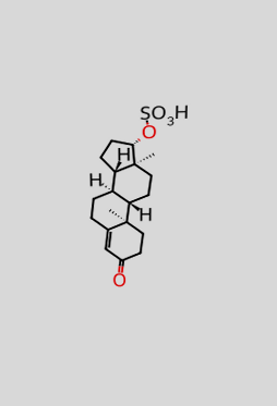 C[C@]12CC[C@H]3[C@@H](CCC4=CC(=O)CC[C@@]43C)[C@@H]1CC[C@@H]2OS(=O)(=O)O